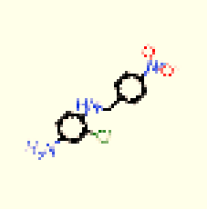 Nc1ccc(NCc2ccc([N+](=O)[O-])cc2)c(Cl)c1